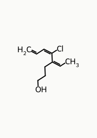 C=C/C=C(Cl)\C(=C/C)CCCO